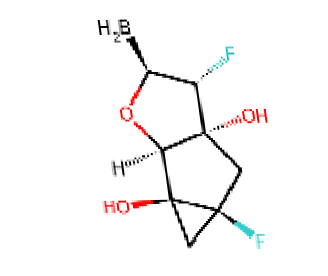 B[C@@H]1O[C@H]2[C@](O)(C[C@]3(F)C[C@]23O)[C@H]1F